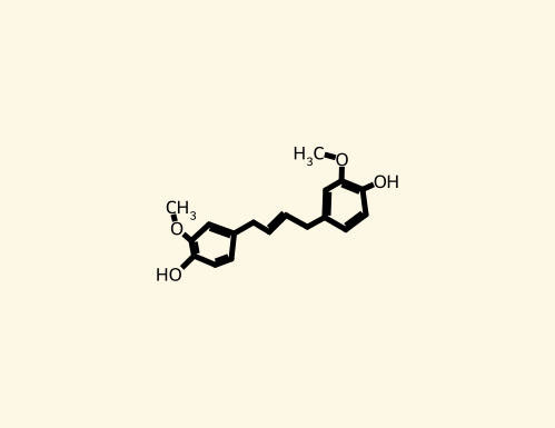 COc1cc(C/C=C/Cc2ccc(O)c(OC)c2)ccc1O